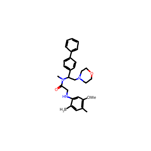 Bc1cc(C)c(OC)cc1NCC(=O)N(C)C(CN1CCOCC1)c1ccc(-c2ccccc2)cc1